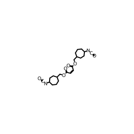 O=C=NC1CCCC(COC(=O)/C=C\C(=O)OCC2CCCC(N=C=O)CC2)CC1